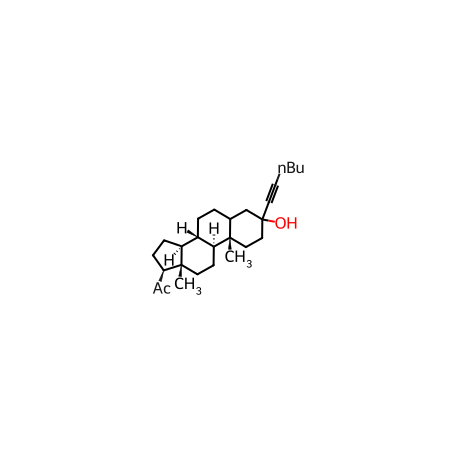 CCCCC#CC1(O)CC[C@@]2(C)C(CC[C@H]3[C@@H]4CC[C@H](C(C)=O)[C@@]4(C)CC[C@@H]32)C1